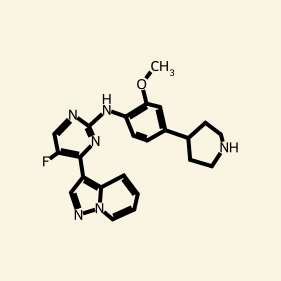 COc1cc(C2CCNCC2)ccc1Nc1ncc(F)c(-c2cnn3ccccc23)n1